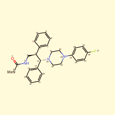 CNC(=O)NC[C@@H](c1ccccc1)[C@@H](c1ccccc1)N1CCN(c2ccc(F)cc2)CC1